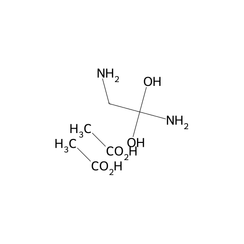 CC(=O)O.CC(=O)O.NCC(N)(O)O